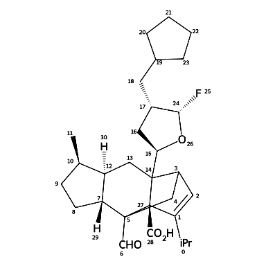 CC(C)C1=CC2CC3(C=O)[C@@H]4CC[C@@H](C)[C@H]4CC2([C@H]2C[C@H](CC4CCCC4)[C@H](F)O2)[C@]13C(=O)O